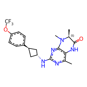 Cc1nc(N[C@H]2C[C@H](c3ccc(OC(F)(F)F)cc3)C2)nc2c1NC(=O)[C@H](C)N2C